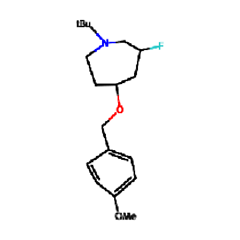 COc1ccc(COC2CCN(C(C)(C)C)CC(F)C2)cc1